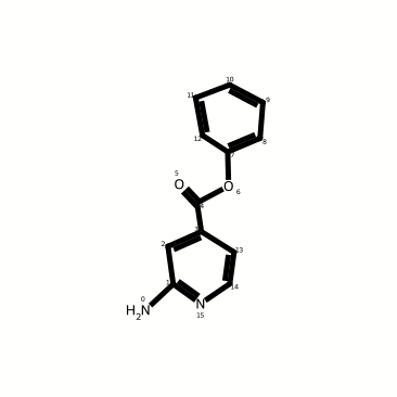 Nc1cc(C(=O)Oc2ccccc2)ccn1